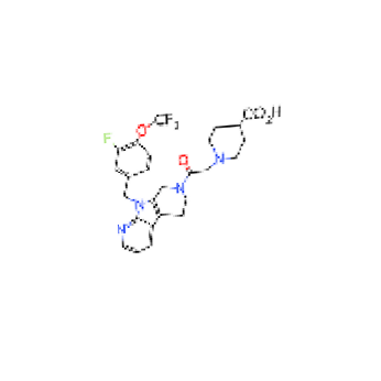 O=C(O)C1CCN(CC(=O)N2CCc3c(n(Cc4ccc(OC(F)(F)F)c(F)c4)c4ncccc34)C2)CC1